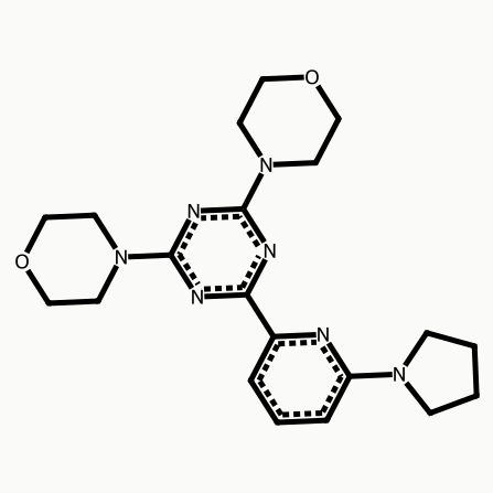 c1cc(-c2nc(N3CCOCC3)nc(N3CCOCC3)n2)nc(N2CCCC2)c1